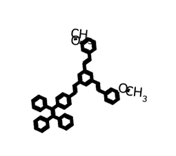 COc1cccc(/C=C/c2cc(/C=C/c3ccc(C(=C(c4ccccc4)c4ccccc4)c4ccccc4)cc3)cc(/C=C/c3cccc(OC)c3)c2)c1